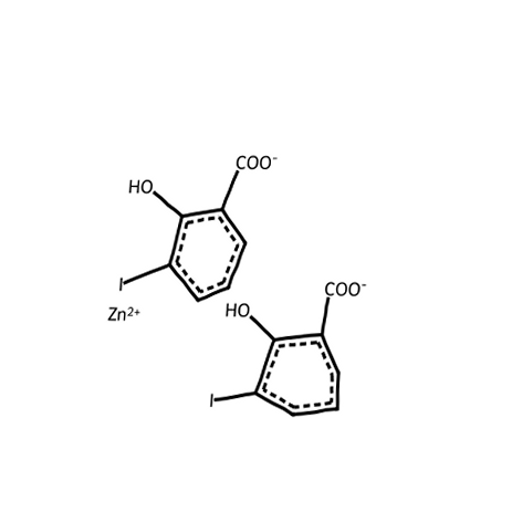 O=C([O-])c1cccc(I)c1O.O=C([O-])c1cccc(I)c1O.[Zn+2]